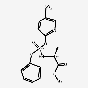 CC(C)OC(=O)[C@H](C)N[P@](=O)(Oc1ccccc1)Oc1ccc([N+](=O)[O-])cn1